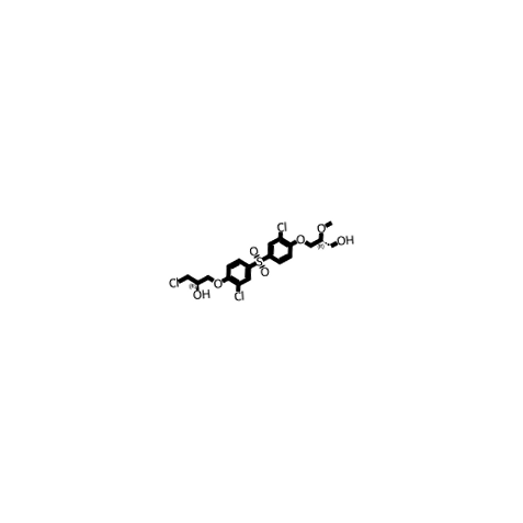 CO[C@H](CO)COc1ccc(S(=O)(=O)c2ccc(OC[C@@H](O)CCl)c(Cl)c2)cc1Cl